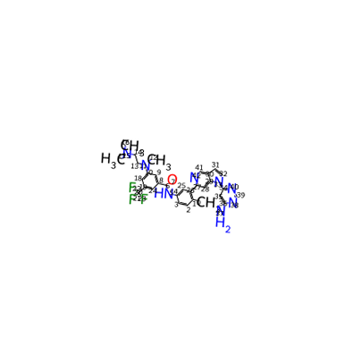 Cc1ccc(NC(=O)c2cc(N(C)CCN(C)C)cc(C(F)(F)F)c2)cc1-c1cc2c(ccn2-c2cc(N)ncn2)cn1